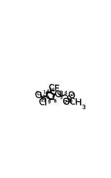 CS(=O)(=O)CCOc1ccc(C(=O)Cl)cc1C(F)(F)F